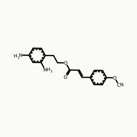 N#COc1ccc(/C=C/C(=O)OCCc2ccc(N)cc2N)cc1